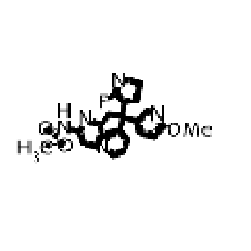 COc1ccc(C(Cc2cccc(NS(C)(=O)=O)n2)(c2cccnc2)c2cccnc2F)cn1